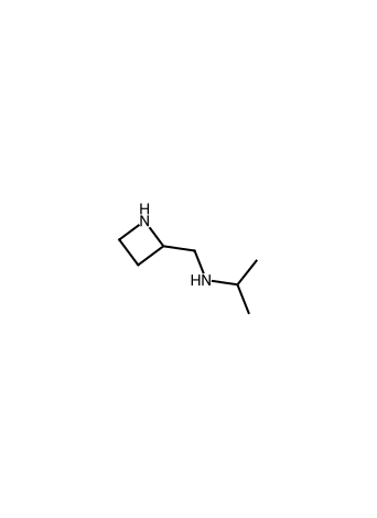 CC(C)NCC1CCN1